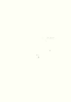 C=CCCCN1C(=O)COc2ccc(B(O)O)cc21